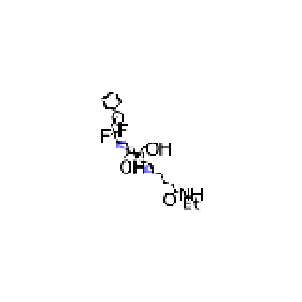 CCNC(=O)CCC/C=C/C[C@@H](CO)[C@@H](/C=C/C(F)(F)COc1ccccc1)CO